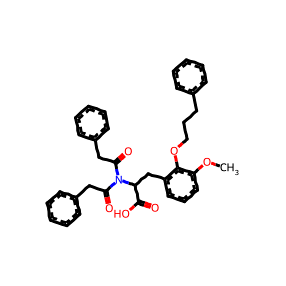 COc1cccc(CC(C(=O)O)N(C(=O)Cc2ccccc2)C(=O)Cc2ccccc2)c1OCCCc1ccccc1